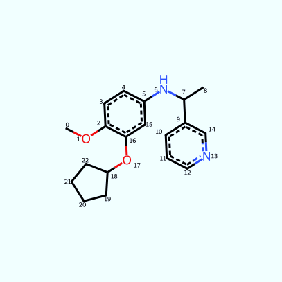 COc1ccc(NC(C)c2cccnc2)cc1OC1CCCC1